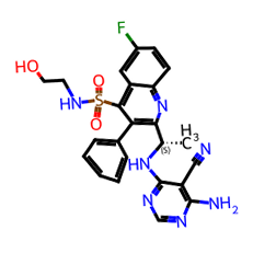 C[C@H](Nc1ncnc(N)c1C#N)c1nc2ccc(F)cc2c(S(=O)(=O)NCCO)c1-c1ccccc1